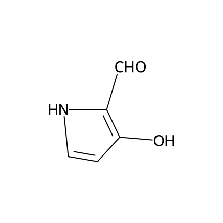 O=Cc1[nH]ccc1O